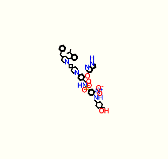 CC(C)c1ccccc1C1CC(Cc2ccccc2)CCN1C1CC2(CCN(c3ccc(C(=O)NS(=O)(=O)c4ccc(NCC5CCC(C)(O)CC5)c([N+](=O)[O-])c4)c(Oc4cnc5[nH]ccc5c4)c3)CC2)C1